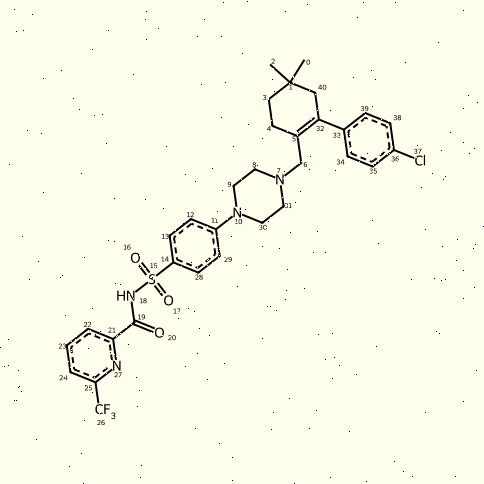 CC1(C)CCC(CN2CCN(c3ccc(S(=O)(=O)NC(=O)c4cccc(C(F)(F)F)n4)cc3)CC2)=C(c2ccc(Cl)cc2)C1